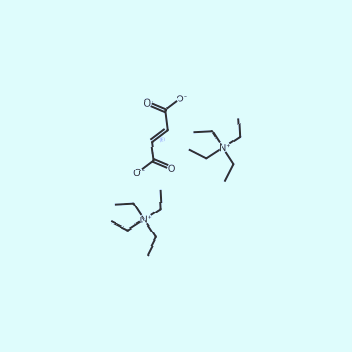 CC[N+](CC)(CC)CC.CC[N+](CC)(CC)CC.O=C([O-])/C=C/C(=O)[O-]